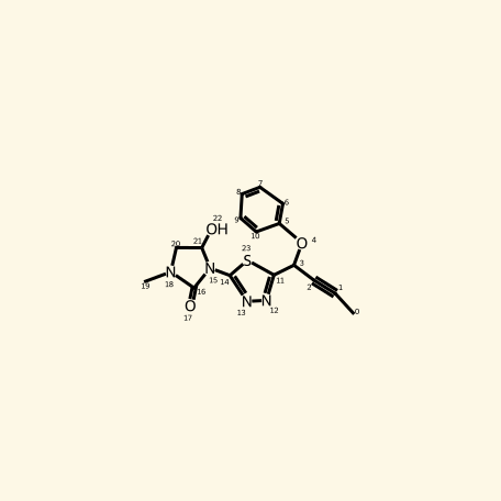 CC#CC(Oc1ccccc1)c1nnc(N2C(=O)N(C)CC2O)s1